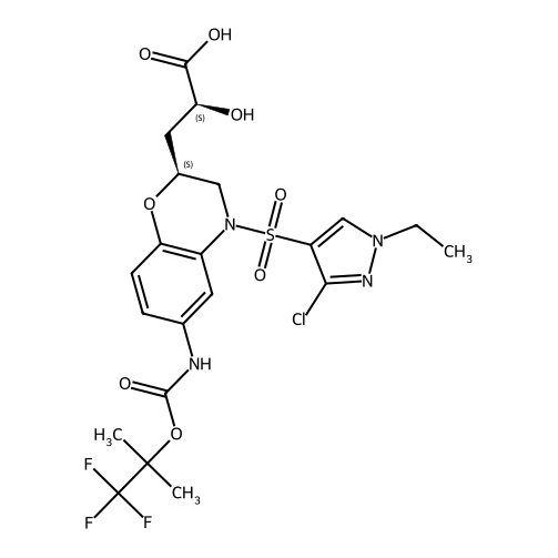 CCn1cc(S(=O)(=O)N2C[C@H](C[C@H](O)C(=O)O)Oc3ccc(NC(=O)OC(C)(C)C(F)(F)F)cc32)c(Cl)n1